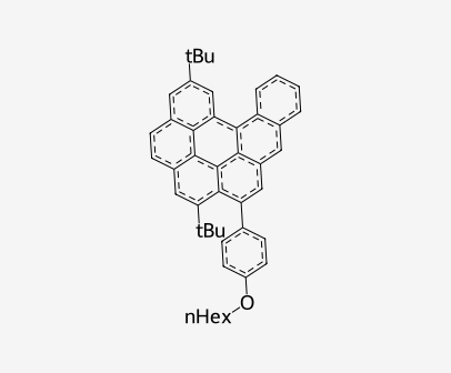 CCCCCCOc1ccc(-c2cc3cc4ccccc4c4c5cc(C(C)(C)C)cc6ccc7cc(C(C)(C)C)c2c(c7c65)c34)cc1